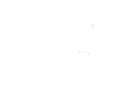 CCC(=O)C1=C(C)C(=O)c2ccccc2C1=O